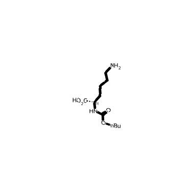 CCCCOC(=O)N[C@@H](CCCCN)C(=O)O